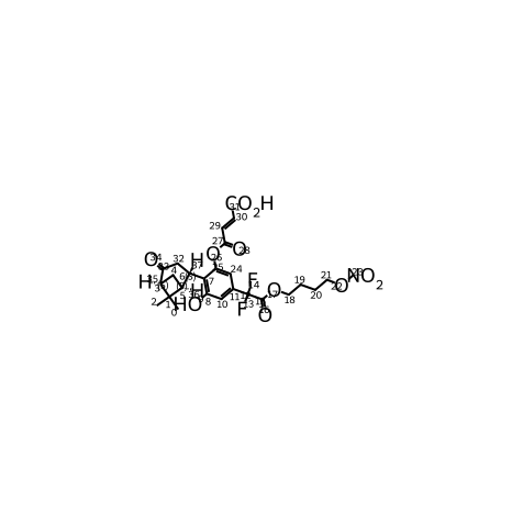 CC1(C)[C@@H]2C[C@H]1[C@@H](c1c(O)cc(C(F)(F)C(=O)OCCCCO[N+](=O)[O-])cc1OC(=O)C=CC(=O)O)CC2=O